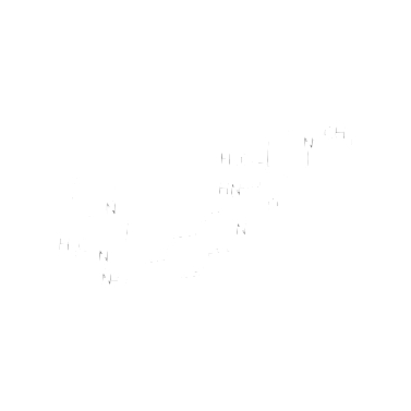 CN1CCC(C)(C(=O)Nc2cc3cc(-c4cnn(C)c4CN4CCCCC4)ccc3cn2)CC1